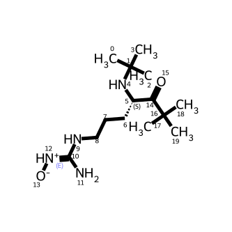 CC(C)(C)N[C@@H](CCCN/C(N)=[NH+]/[O-])C(=O)C(C)(C)C